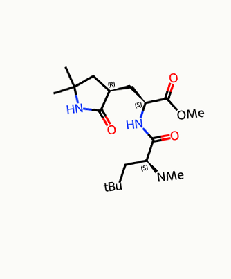 CN[C@@H](CC(C)(C)C)C(=O)N[C@@H](C[C@@H]1CC(C)(C)NC1=O)C(=O)OC